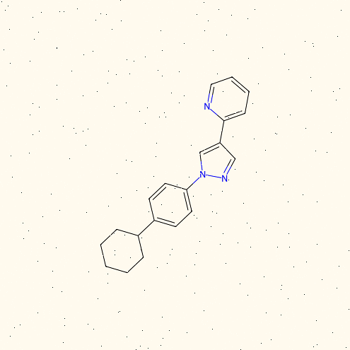 c1ccc(-c2cnn(-c3ccc(C4CCCCC4)cc3)c2)nc1